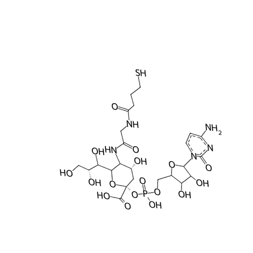 Nc1ccn(C2OC(COP(=O)(O)O[C@@]3(C(=O)O)C[C@@H](O)C(NC(=O)CNC(=O)CCCS)C(C(O)[C@H](O)CO)O3)C(O)C2O)c(=O)n1